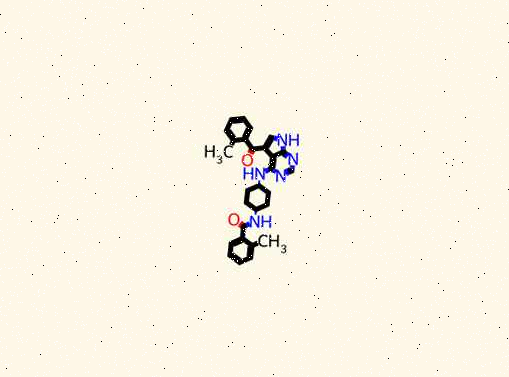 Cc1ccccc1C(=O)N[C@H]1CC[C@@H](Nc2ncnc3[nH]cc(C(=O)c4ccccc4C)c23)CC1